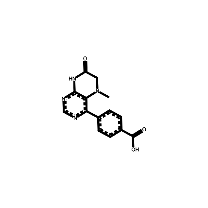 CN1CC(=O)Nc2ncnc(-c3ccc(C(=O)O)cc3)c21